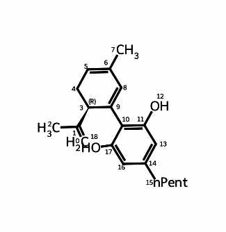 C=C(C)[C@H]1CC=C(C)C=C1c1c(O)cc(CCCCC)cc1O